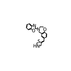 C(=C1CNCS1)c1ccc2c(c1)CN(c1nc3ccccc3o1)CCO2